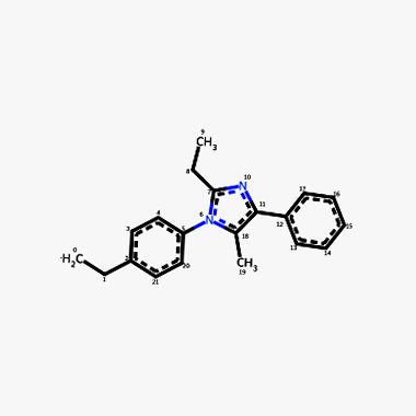 [CH2]Cc1ccc(-n2c(CC)nc(-c3ccccc3)c2C)cc1